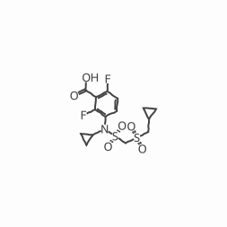 O=C(O)c1c(F)ccc(N(C2CC2)S(=O)(=O)CS(=O)(=O)CC2CC2)c1F